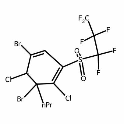 CCCC1(Br)[C](Cl)C(Br)=CC(S(=O)(=O)C(F)(F)C(F)(F)C(F)(F)F)=C1Cl